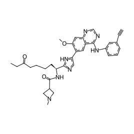 C#Cc1cccc(Nc2ncnc3cc(OC)c(-c4cnc([C@H](CCCCC(=O)CC)NC(=O)C5CN(C)C5)[nH]4)cc23)c1